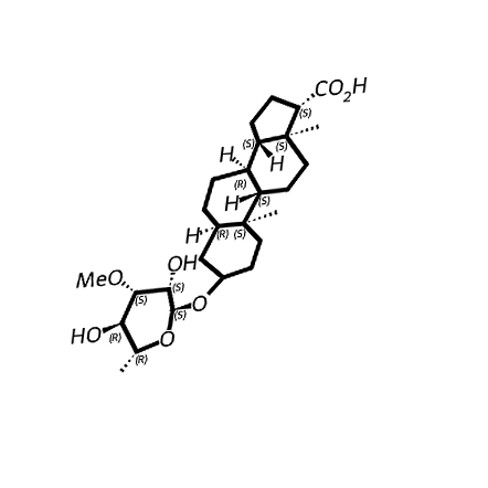 CO[C@@H]1[C@H](O)[C@@H](OC2CC[C@@]3(C)[C@H](CC[C@@H]4[C@@H]3CC[C@]3(C)[C@@H](C(=O)O)CC[C@@H]43)C2)O[C@H](C)[C@H]1O